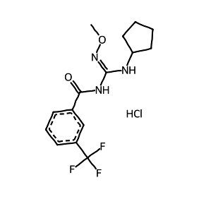 CON=C(NC(=O)c1cccc(C(F)(F)F)c1)NC1CCCC1.Cl